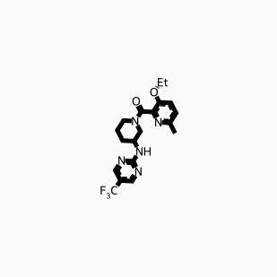 CCOc1ccc(C)nc1C(=O)N1CCCC(Nc2ncc(C(F)(F)F)cn2)C1